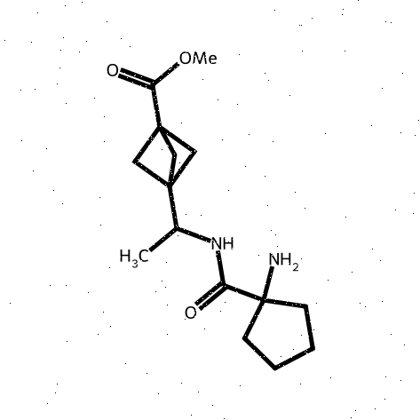 COC(=O)C12CC(C(C)NC(=O)C3(N)CCCC3)(C1)C2